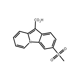 CS(=O)(=O)c1ccc2c(C(=O)O)c3ccccn3c2c1